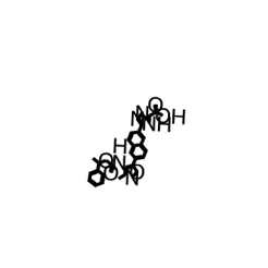 Cc1noc(-c2ccc3cc(-c4nnc(C(=O)O)[nH]4)ccc3c2)c1NC(=O)OC(C)c1ccccc1